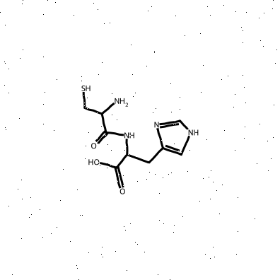 NC(CS)C(=O)NC(Cc1c[nH]cn1)C(=O)O